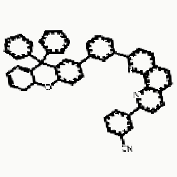 N#Cc1cccc(-c2ccc3ccc4ccc(-c5cccc(-c6ccc7c(c6)C(c6ccccc6)(c6ccccc6)C6=CC=CCC6O7)c5)nc4c3n2)c1